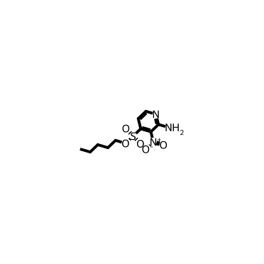 CCCCCOS(=O)(=O)c1ccnc(N)c1[N+](=O)[O-]